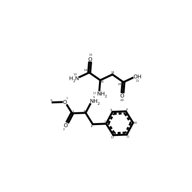 COC(=O)C(N)Cc1ccccc1.NC(=O)C(N)CC(=O)O